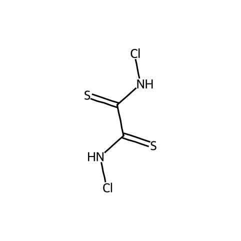 S=C(NCl)C(=S)NCl